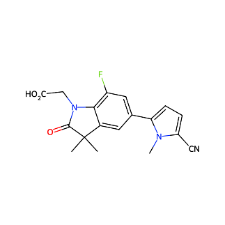 Cn1c(C#N)ccc1-c1cc(F)c2c(c1)C(C)(C)C(=O)N2CC(=O)O